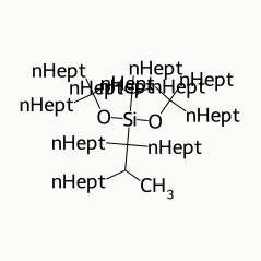 CCCCCCCC(C)C(CCCCCCC)(CCCCCCC)[Si](OC(CCCCCCC)(CCCCCCC)CCCCCCC)(OC(CCCCCCC)(CCCCCCC)CCCCCCC)C(CCCCCCC)(CCCCCCC)CCCCCCC